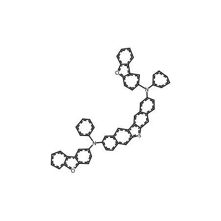 c1ccc(N(c2ccc3cc4sc5cc6ccc(N(c7ccccc7)c7ccc8oc9ccccc9c8c7)cc6cc5c4cc3c2)c2ccc3oc4ccccc4c3c2)cc1